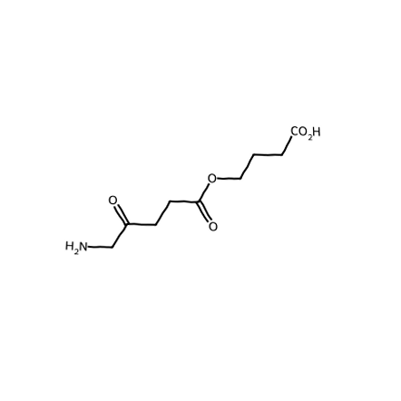 NCC(=O)CCC(=O)OCCCC(=O)O